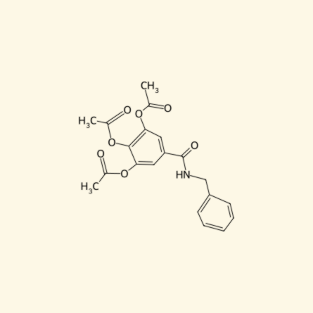 CC(=O)Oc1cc(C(=O)NCc2ccccc2)cc(OC(C)=O)c1OC(C)=O